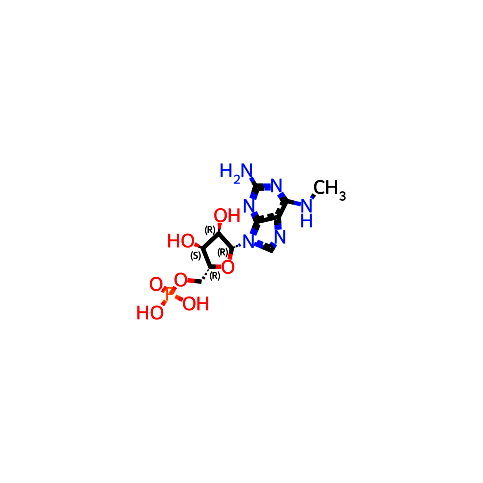 CNc1nc(N)nc2c1ncn2[C@@H]1O[C@H](COP(=O)(O)O)[C@@H](O)[C@H]1O